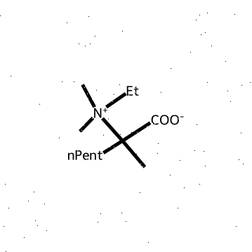 CCCCCC(C)(C(=O)[O-])[N+](C)(C)CC